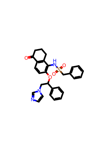 O=C1CCCc2c1ccc(OC(Cn1ccnc1)c1ccccc1)c2NS(=O)(=O)Cc1ccccc1